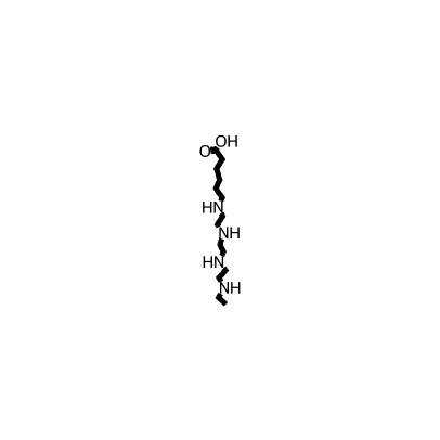 CCNCCNCCNCCNCCCCCC(=O)O